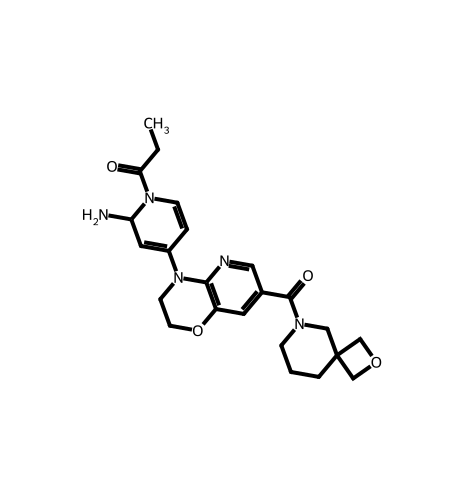 CCC(=O)N1C=CC(N2CCOc3cc(C(=O)N4CCCC5(COC5)C4)cnc32)=CC1N